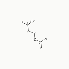 CC(Br)CCOC(C)C